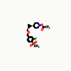 CS(=O)(=O)c1ccc(COC[C@@H]2C[C@@H]2C2CCN(OC(=O)C(F)(F)F)CC2)cc1F